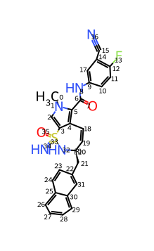 Cn1cc2c(c1C(=O)Nc1ccc(F)c(C#N)c1)C=C[C@@H](Cc1ccc3ccccc3c1)NS2(=N)=O